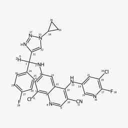 [2H]C(Nc1cc(Cl)c2ncc(C#N)c(Nc3cnc(F)c(Cl)c3)c2c1)(c1ccc(F)cc1)c1cn(C2CC2)nn1